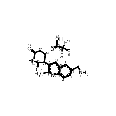 Cc1nc2ccc(CN)cc2cc1C1CCC(=O)NC1=O.O=C(O)C(F)(F)F